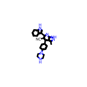 Cc1n[nH]c2nc(-c3c[nH]c4ccccc34)c(C#N)c(-c3ccc(N4CCNCC4)cc3)c12